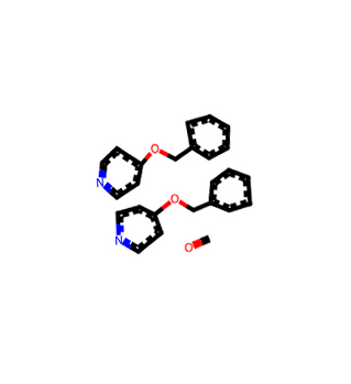 C=O.c1ccc(COc2ccncc2)cc1.c1ccc(COc2ccncc2)cc1